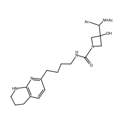 CC(=O)NC(C(C)=O)C1(O)CN(C(=O)NCCCCc2ccc3c(n2)NCCC3)C1